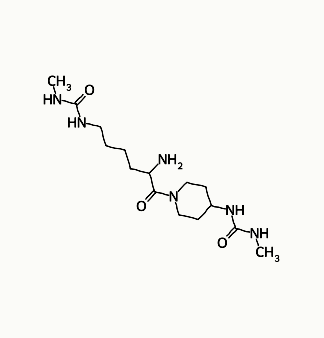 CNC(=O)NCCCCC(N)C(=O)N1CCC(NC(=O)NC)CC1